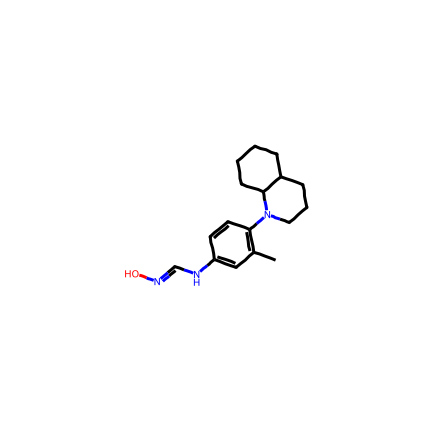 Cc1cc(N/C=N/O)ccc1N1CCCC2CCCCC21